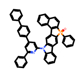 O=P1(c2ccccc2)c2cc3c4ccccc4n(-c4cc(-c5ccc(-c6ccccc6)cc5)cc(-c5ccccc5)n4)c3cc2-c2c1ccc1ccccc21